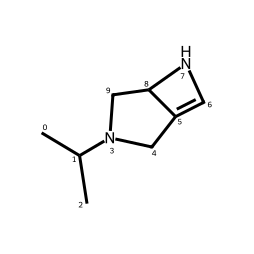 CC(C)N1CC2=CNC2C1